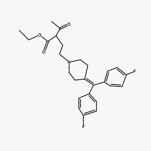 CCOC(=O)C(CCN1CCC(=C(c2ccc(F)cc2)c2ccc(F)cc2)CC1)C(C)=O